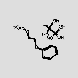 CCCCCCCCOCCOc1ccccc1.OC(O)(O)C(O)(O)O